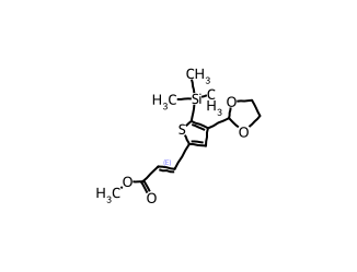 COC(=O)/C=C/c1cc(C2OCCO2)c([Si](C)(C)C)s1